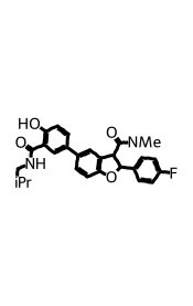 CNC(=O)C1c2cc(-c3ccc(O)c(C(=O)NCC(C)C)c3)ccc2OC1c1ccc(F)cc1